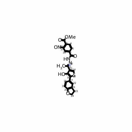 COC(=O)c1ccc(C(=O)N/N=C(\C)c2csc(-c3ccc4c(c3)CCO4)c2O)cc1N=O